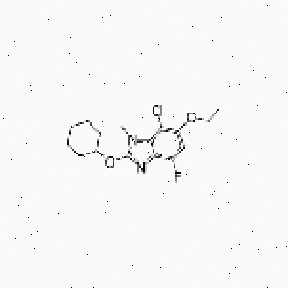 CCOc1cc(F)c2nc(OC3CCCCC3)n(C)c2c1Cl